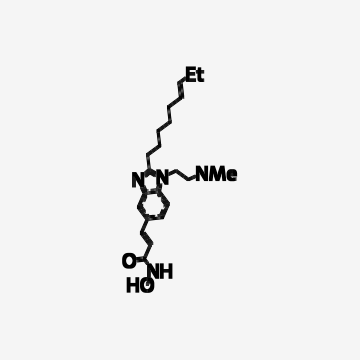 CC/C=C/CCCCCc1nc2cc(/C=C/C(=O)NO)ccc2n1CCNC